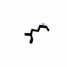 C=CC(=C)CC/C=C\C